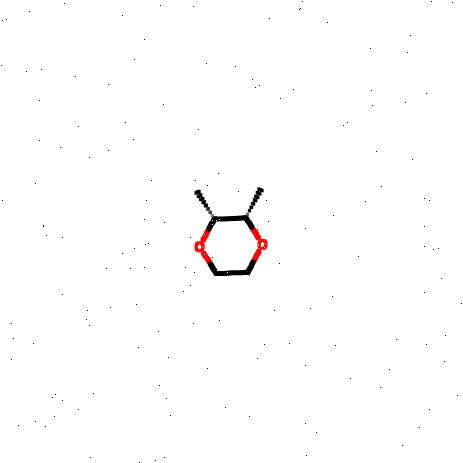 C[C@@H]1OCCO[C@@H]1C